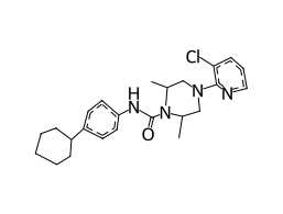 CC1CN(c2ncccc2Cl)CC(C)N1C(=O)Nc1ccc(C2CCCCC2)cc1